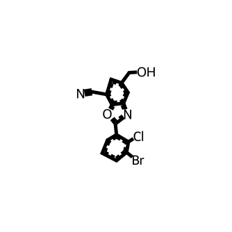 N#Cc1cc(CO)cc2nc(-c3cccc(Br)c3Cl)oc12